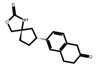 O=C1CCc2cc([C@@H]3CC[C@]4(COC(=O)N4)C3)ccc2C1